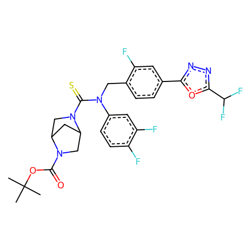 CC(C)(C)OC(=O)N1CC2CC1CN2C(=S)N(Cc1ccc(-c2nnc(C(F)F)o2)cc1F)c1ccc(F)c(F)c1